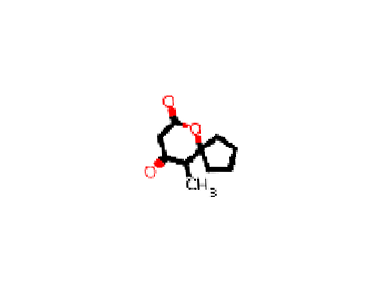 CC1C(=O)CC(=O)OC12CCCC2